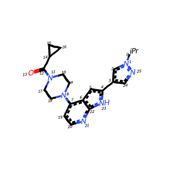 CC(C)n1cc(-c2cc3c(N4CCN(C(=O)C5CC5)CC4)ccnc3[nH]2)cn1